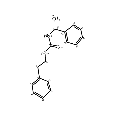 C[C@@H](NC(=S)NCCc1ccccc1)c1ccccc1